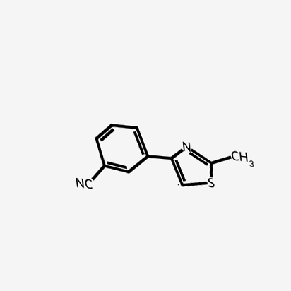 Cc1nc(-c2cccc(C#N)c2)[c]s1